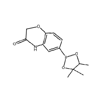 CC1OB(c2ccc3c(c2)NC(=O)CO3)OC1(C)C